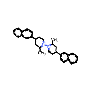 CC1CC(c2ccc3ccccc3c2)CCN1N1CCC(c2ccc3ccccc3c2)CC1C